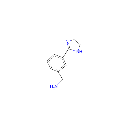 NCc1cccc(C2=NCCN2)c1